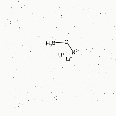 BO[N-2].[Li+].[Li+]